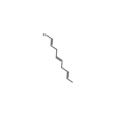 C/C=C/C/C=C/C/C=C/CC